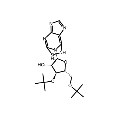 CC(C)(C)OC[C@H]1O[C@@H](n2c3nc4ncnc-4c2N[SiH2]3)[C@@H](O)[C@@H]1OC(C)(C)C